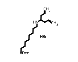 Br.C=CCC(CC=C)NCCCCCCCCCCCCCCCCCC